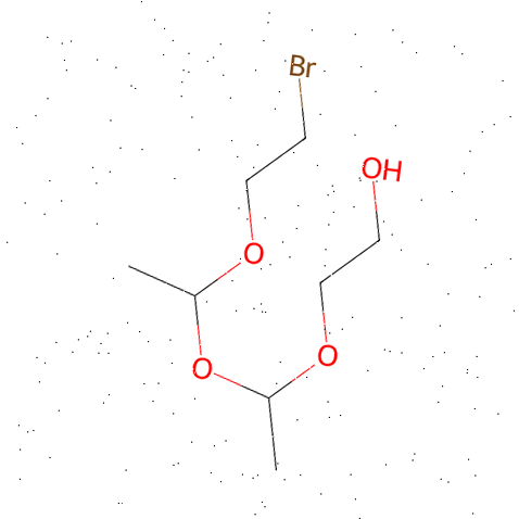 CC(OCCO)OC(C)OCCBr